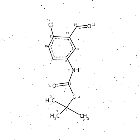 CC(C)(C)OC(=O)Nc1ccc(Cl)c(C=O)c1